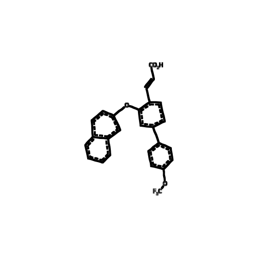 O=C(O)/C=C/c1ccc(-c2ccc(OC(F)(F)F)cc2)cc1Oc1ccc2ccccc2c1